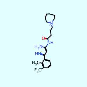 Cc1c(C(=N)/C=C(\N)NC(=O)CCCN2CCCCCC2)cccc1C(F)(F)F